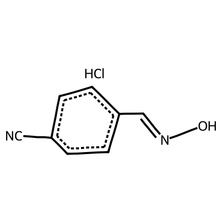 Cl.N#Cc1ccc(C=NO)cc1